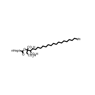 CCCCCCCC(=O)OC(CC(=O)O)(C(=O)O)C(CCCCCCCCCCCCCCCCCC(C)C)C(=O)O